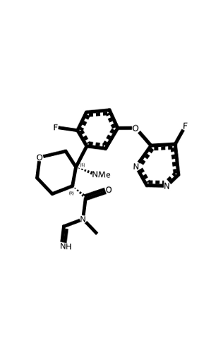 CN[C@@]1(c2cc(Oc3ncncc3F)ccc2F)COCC[C@H]1C(=O)N(C)C=N